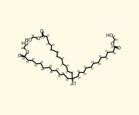 CCC(CCCCCCCCCCCC(=O)OCO)(CCCCCCCCCCCC(=O)OCO)CCCCCCCCCCCC(=O)OCO